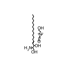 CCCCCCCCCCCCC/C=C/C(O)C(N)CO.C[N+](C)(C#P=O)CCO